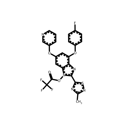 Cc1nsc(-c2nc3c(Oc4ccc(F)cc4)cc(Oc4cccnc4)cc3n2OC(=O)C(F)(F)F)n1